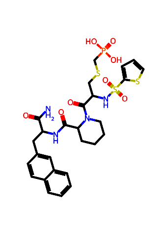 NC(=O)C(Cc1ccc2ccccc2c1)NC(=O)C1CCCCN1C(=O)C(CSCP(=O)(O)O)NS(=O)(=O)c1cccs1